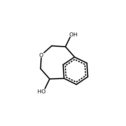 OC1COCC(O)c2cccc1c2